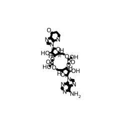 Nc1ncnc2c1ncn2[C@@H]1O[C@@H]2COP(=O)(O)O[C@H]3[C@@H](O)[C@H](n4cnc5c4N=CCC5=O)O[C@@H]3COP(=O)(O)O[C@H]2[C@H]1O